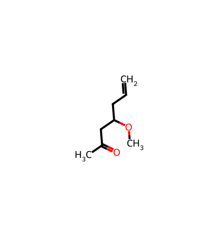 C=CCC(CC(C)=O)OC